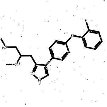 CNCC(Cc1n[nH]cc1-c1ccc(Oc2ccccc2F)cc1)NC